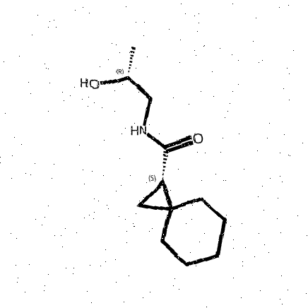 C[C@@H](O)CNC(=O)[C@H]1CC12CCCCC2